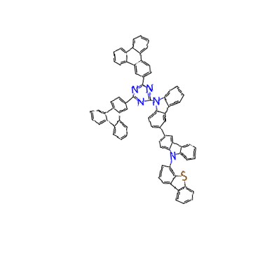 c1ccc2c(c1)sc1c(-n3c4ccccc4c4cc(-c5ccc6c(c5)c5ccccc5n6-c5nc(-c6ccc7c8ccccc8c8ccccc8c7c6)nc(-c6ccc7c8ccccc8c8ccccc8c7c6)n5)ccc43)cccc12